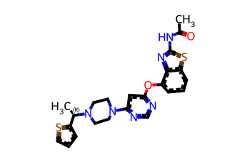 CC(=O)Nc1nc2c(Oc3cc(N4CCN([C@H](C)c5cccs5)CC4)ncn3)cccc2s1